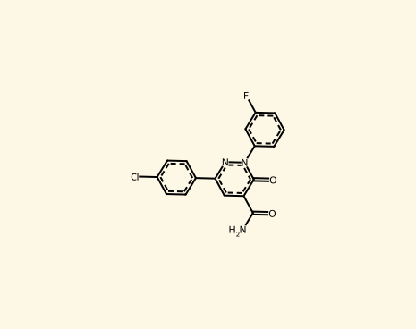 NC(=O)c1cc(-c2ccc(Cl)cc2)nn(-c2cccc(F)c2)c1=O